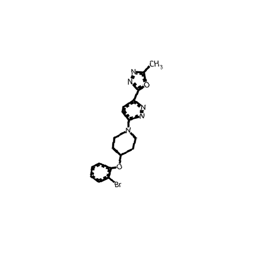 Cc1nnc(-c2ccc(N3CCC(Oc4ccccc4Br)CC3)nn2)o1